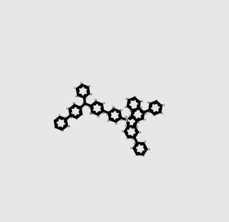 c1ccc(-c2ccc(C(c3ccccc3)c3ccc(-c4ccc(-n5c6ccc(-c7ccccc7)cc6c6cc(-c7ccccc7)c7ccccc7c65)cc4)cc3)cc2)cc1